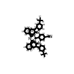 CC(C)(C)c1ccc2c(c1)c1ccccc1n2-c1cc(C#N)cc(-n2c3ccccc3c3cc(C(C)(C)C)ccc32)c1-c1nc(-c2ccccc2)nc(-c2ccccc2)n1